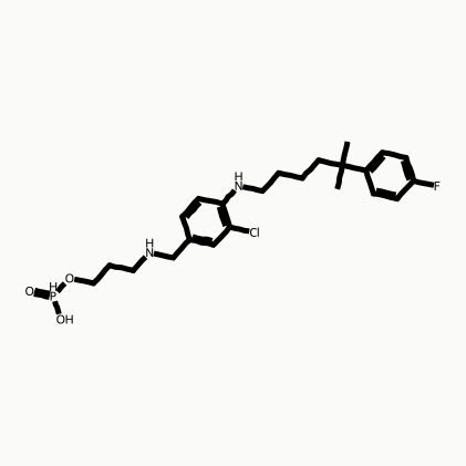 CC(C)(CCCCNc1ccc(CNCCCO[PH](=O)O)cc1Cl)c1ccc(F)cc1